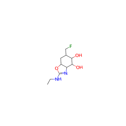 CCNC1=NC2C(CC(CF)C(O)C2O)O1